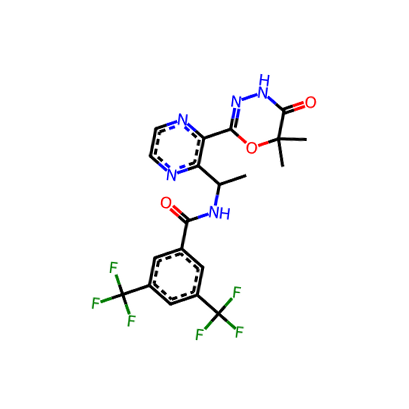 CC(NC(=O)c1cc(C(F)(F)F)cc(C(F)(F)F)c1)c1nccnc1C1=NNC(=O)C(C)(C)O1